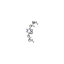 C=COC(=O)/C=C\C(=O)OCN